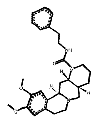 COc1cc2c(cc1OC)[C@H]1C[C@H]3[C@H](CCCN3C(=O)NCCc3ccccc3)CN1CC2